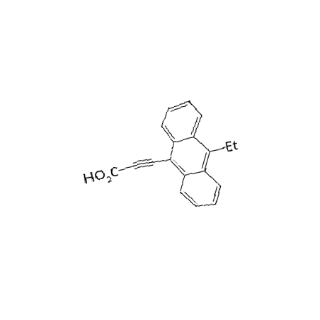 CCc1c2ccccc2c(C#CC(=O)O)c2ccccc12